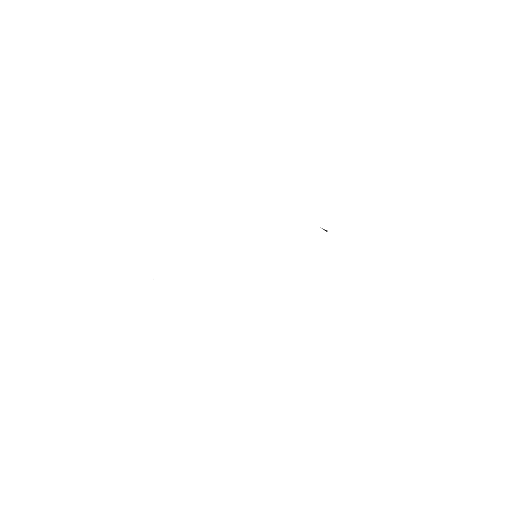 CCCCCCC[C@H](O)[C@H]1C(O)CC(=O)[C@H]1C/C=C\CCCC(=O)O